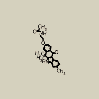 CC(=O)NCCOc1ccc2c(c1)C(C)(C)c1[nH]c3cc(C)ccc3c1C2=O